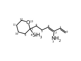 C=CC(N)=CCCC1([SiH3])CCCCO1